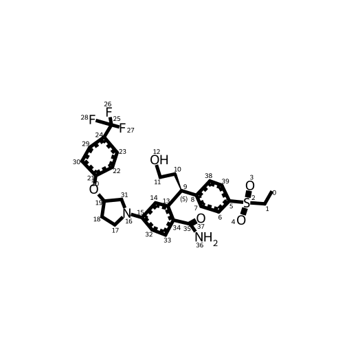 CCS(=O)(=O)c1ccc([C@H](CCO)c2cc(N3CCC(Oc4ccc(C(F)(F)F)cc4)C3)ccc2C(N)=O)cc1